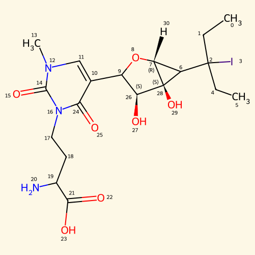 CCC(I)(CC)C1[C@H]2OC(c3cn(C)c(=O)n(CCC(N)C(=O)O)c3=O)[C@H](O)[C@@]12O